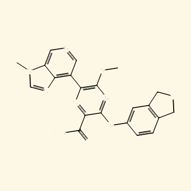 CNc1nc(Nc2ccc3c(c2)CSC3)c(C(N)=O)nc1-c1cncc2c1ncn2C